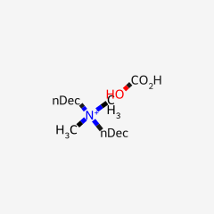 CCCCCCCCCC[N+](C)(C)CCCCCCCCCC.O=C(O)O